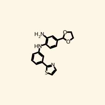 Nc1cc(C2OCCO2)ccc1Nc1cccc(-c2nccs2)c1